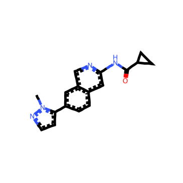 Cn1nccc1-c1ccc2cc(NC(=O)C3CC3)ncc2c1